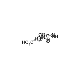 BC(c1ccccc1OCCCCCC(=O)O)N(CCc1ccccn1)C(=O)c1ccc(-c2cn[nH]c2)cc1